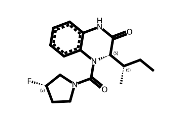 CC[C@H](C)[C@H]1C(=O)Nc2ccccc2N1C(=O)N1CC[C@H](F)C1